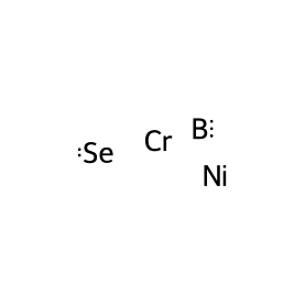 [B].[Cr].[Ni].[Se]